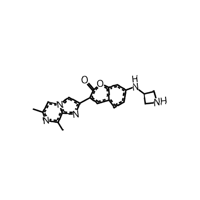 Cc1cn2cc(-c3cc4ccc(NC5CNC5)cc4oc3=O)nc2c(C)n1